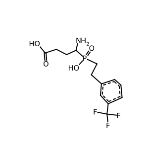 NC(CCC(=O)O)P(=O)(O)CCc1cccc(C(F)(F)F)c1